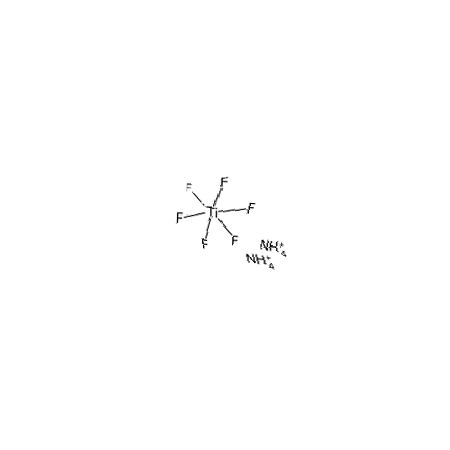 [F][Ti]([F])([F])([F])([F])[F].[NH4+].[NH4+]